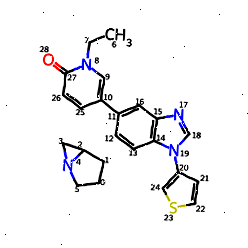 C1CC2CN2C1.CCn1cc(-c2ccc3c(c2)ncn3-c2ccsc2)ccc1=O